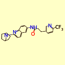 O=C(CCc1ccc(C(F)(F)F)nc1)Nc1ccc2nc(N3CC4CCC3CC4)ccc2c1